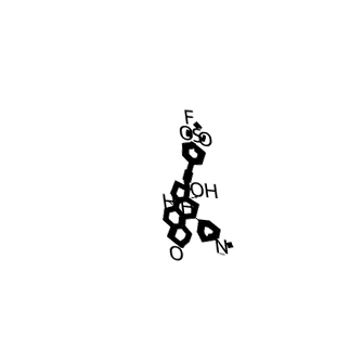 CN(C)c1ccc([C@H]2C[C@@]3(C)[C@@H](CC[C@@]3(O)C#Cc3ccc(S(=O)(=O)CF)cc3)[C@@H]3CCC4=CC(=O)CCC4=C32)cc1